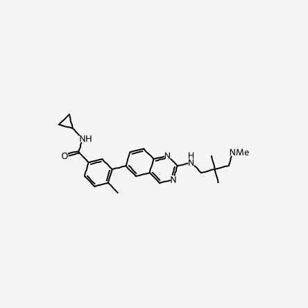 CNCC(C)(C)CNc1ncc2cc(-c3cc(C(=O)NC4CC4)ccc3C)ccc2n1